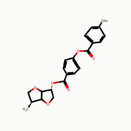 CC(=O)Oc1ccc(C(=O)Oc2ccc(C(=O)O[C@@H]3COC4C3OC[C@@H]4C)cc2)cc1